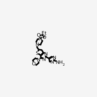 CCS(=O)(=O)N1CCN(CC2Cc3nc(-c4cnc(N)nc4)nc(N4CCOCC4)c3S2)CC1